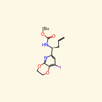 C=CC[C@H](NC(=O)OC(C)(C)C)c1cc(I)c2c(n1)OCCO2